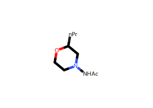 CCCC1CN(NC(C)=O)CCO1